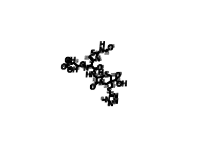 Cn1nnnc1SCC1(C(=O)O)CS[C@@H]2C(NC(=O)C(=NOCCP(=O)(O)O)c3csc(NC=O)n3)C(=O)N2C1